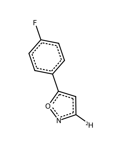 [2H]c1cc(-c2ccc(F)cc2)on1